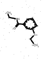 CCNC(=O)c1cccc(SCC)c1